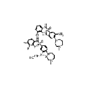 Cc1c(Cl)cccc1NS(=O)(=O)c1ccc(N2CCCNCC2)c(N)c1.Cl.Cl.Nc1cc(S(=O)(=O)Nc2ccc(F)c(F)c2F)ccc1N1CCCNCC1